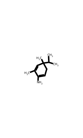 CC1=CC(C)(C(C)C)CC=C1N